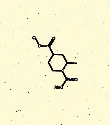 COC(=O)C1CCC(C(=O)OCl)CC1C